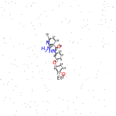 CCOc1ccc(Oc2cccc(NC(=O)c3ccc(C)nc3N)c2)cc1